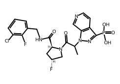 CC(C(=O)N1C[C@H](F)C[C@H]1C(=O)NCc1cccc(Cl)c1F)n1nc(P(=O)(O)O)c2ccncc21